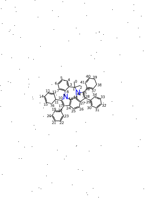 CC1(C)c2ccccc2-n2c(C3C=CC=CC3)c(-c3ccccc3)c3ccc4c(-c5ccccc5)c(C5=CCCC=C5)n1c4c32